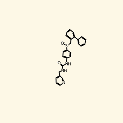 O=C(NCc1cccnc1)Nc1ccc([S+]([O-])Cc2ccccc2-c2ccccc2)cc1